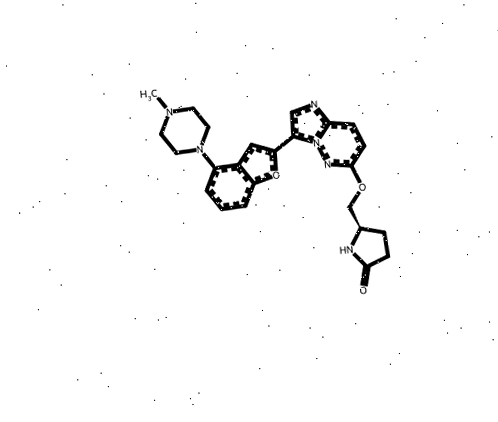 CN1CCN(c2cccc3oc(-c4cnc5ccc(OC[C@H]6CCC(=O)N6)nn45)cc23)CC1